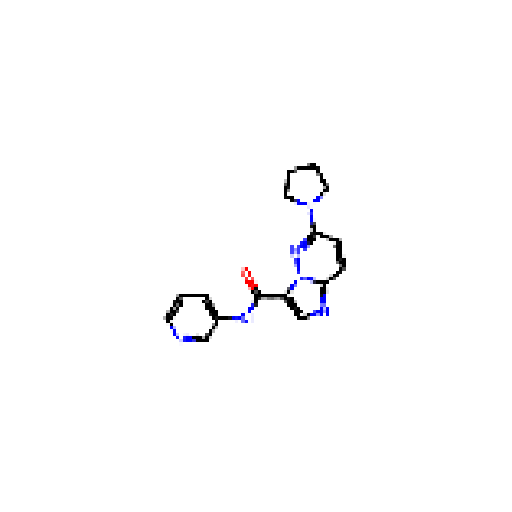 O=C(Nc1cccnc1)c1cnc2ccc(N3CCCC3)nn12